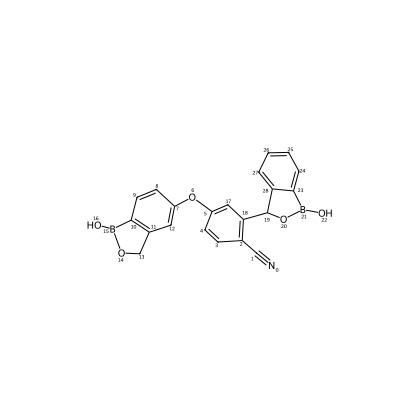 N#Cc1ccc(Oc2ccc3c(c2)COB3O)cc1C1OB(O)c2ccccc21